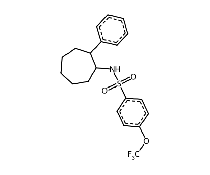 O=S(=O)(NC1CCCCCC1c1ccccc1)c1ccc(OC(F)(F)F)cc1